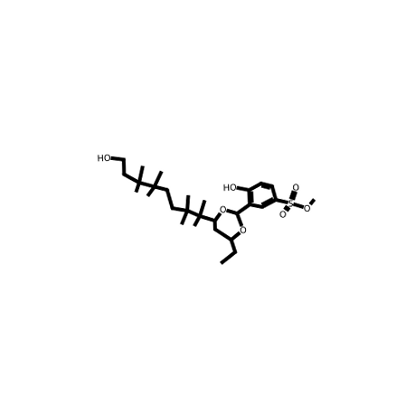 CCC1CC(C(C)(C)C(C)(C)CCC(C)(C)C(C)(C)CCO)OC(c2cc(S(=O)(=O)OC)ccc2O)O1